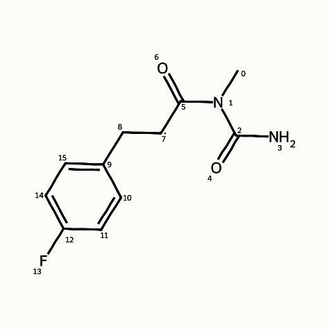 CN(C(N)=O)C(=O)[CH]Cc1ccc(F)cc1